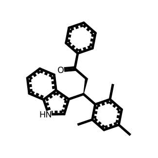 Cc1cc(C)c([C@H](CC(=O)c2ccccc2)c2c[nH]c3ccccc23)c(C)c1